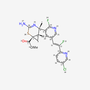 COC(=O)[C@]12C[C@H]1[C@@](C)(c1cc(/C=C(\F)c3ccc(Cl)cn3)cnc1F)N=C(N)S2